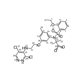 CCOc1ccccc1S(=O)(=O)N(c1cc(C)cc(OCCNc2c(Cl)cnnc2Cl)c1)C(C)(C)P(=O)=O